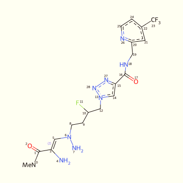 CNC(=O)/C(N)=C/N(N)CCC(F)Cn1cc(C(=O)NCc2cc(C(F)(F)F)ccn2)nn1